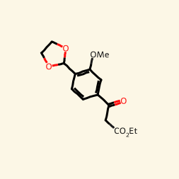 CCOC(=O)CC(=O)c1ccc(C2OCCO2)c(OC)c1